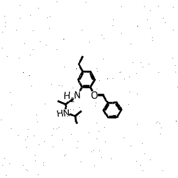 CC(C)NC(C)C.CCc1ccc(OCc2ccccc2)c(N)c1